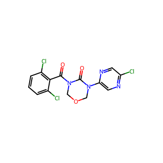 O=C(c1c(Cl)cccc1Cl)N1COCN(c2cnc(Cl)cn2)C1=O